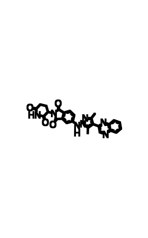 Cc1nn(Nc2ccc3c(c2)C(=O)N(C2CCC(=O)NC2=O)C3=O)c(C)c1-c1cnc2ccccc2n1